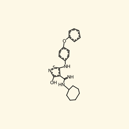 N=C(NC1CCCCCC1)c1c(O)nsc1Nc1ccc(Oc2ccccc2)cc1